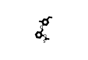 CCc1ccc(OCc2ccccc2OC(C)=S)c(C)c1